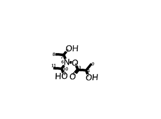 CC(O)C(=O)ON(C(C)O)C(C)O